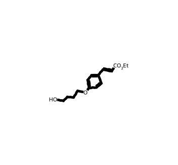 CCOC(=O)C=Cc1ccc(OCCCCO)cc1